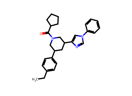 CCc1ccc(C2CC(c3cn(-c4ccccc4)cn3)CN(C(=O)C3CCCC3)C2)cc1